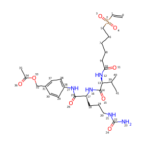 C=CS(=O)(=O)CCCCCC(=O)N[C@H](C(=O)N[C@@H](CCCNC(N)=O)C(=O)Nc1ccc(COC(C)=O)cc1)C(C)C